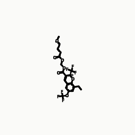 CCc1cc(OC(F)(F)F)cc2c1O[C@H](C(F)(F)F)C(C(=O)OCOC(=O)CCCOC)=C2